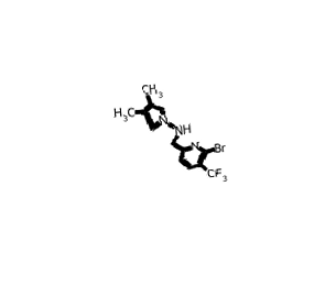 CC1=CN(NCc2ccc(C(F)(F)F)c(Br)n2)CC1C